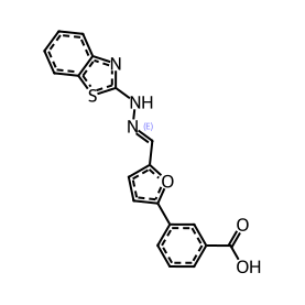 O=C(O)c1cccc(-c2ccc(/C=N/Nc3nc4ccccc4s3)o2)c1